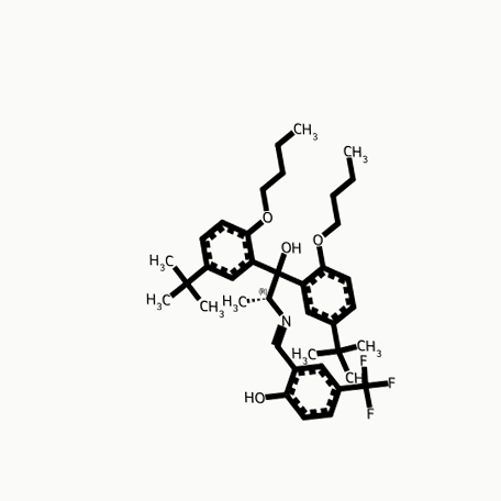 CCCCOc1ccc(C(C)(C)C)cc1C(O)(c1cc(C(C)(C)C)ccc1OCCCC)[C@@H](C)N=Cc1cc(C(F)(F)F)ccc1O